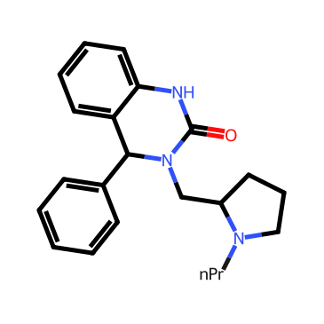 CCCN1CCCC1CN1C(=O)Nc2ccccc2C1c1ccccc1